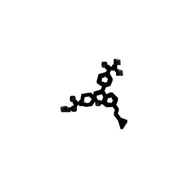 CCN(CC)C(=O)c1ccc(C2=CC3(CCN(C(=O)OC(C)(C)C)CC3)Oc3cc(CCC4CC4)ccc32)cc1